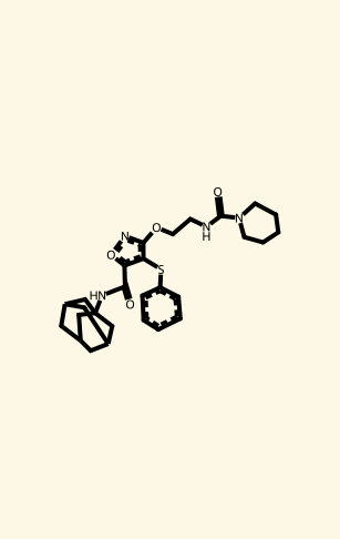 O=C(NC12CC3CC(CC(C3)C1)C2)c1onc(OCCNC(=O)N2CCCCC2)c1Sc1ccccc1